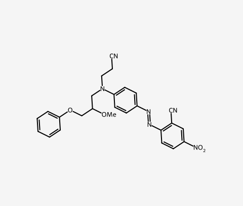 COC(COc1ccccc1)CN(CCC#N)c1ccc(N=Nc2ccc([N+](=O)[O-])cc2C#N)cc1